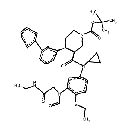 CCNC(=O)CN(C=O)c1cc(N(C(=O)C2CN(C(=O)OC(C)(C)C)CC[C@@H]2c2cccc(-c3ccccc3)c2)C2CC2)ccc1SCC